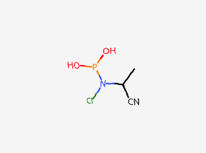 CC(C#N)N(Cl)P(O)O